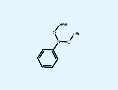 CCCCON(OSC)c1ccccc1